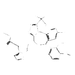 COC(=O)Cc1ccnn1CC[C@H]1S[C@H](c2cccc(OC)c2OC)c2cc(Cl)ccc2-n2c1nnc2C(F)(F)F